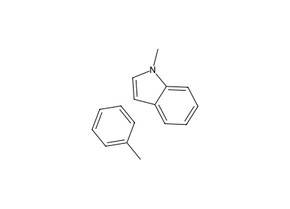 Cc1ccccc1.Cn1ccc2ccccc21